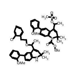 COc1ccccc1-c1ccc2c(c1)C(C(C)OCCc1ccccc1Cl)=CC(C)(C)N2.COc1ccccc1-c1ccc2c(c1)C(C(C)OS(C)(=O)=O)=CC(C)(C)N2C(=O)OC(C)(C)C